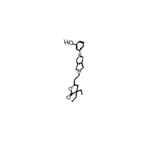 CCC1(CC)CC(CCN2CC3CN(c4cccc(O)c4)CC3C2)OC1=O